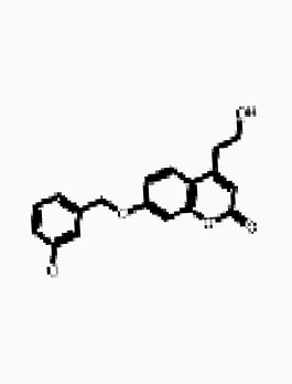 O=c1cc(CCO)c2ccc(OCc3cccc(Cl)c3)cc2o1